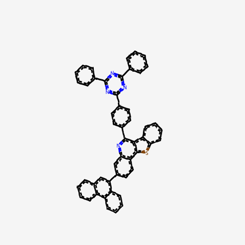 c1ccc(-c2nc(-c3ccccc3)nc(-c3ccc(-c4nc5cc(-c6cc7ccccc7c7ccccc67)ccc5c5sc6ccccc6c45)cc3)n2)cc1